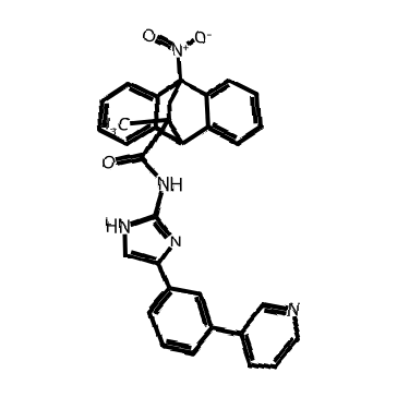 CC1(C(=O)Nc2nc(-c3cccc(-c4cccnc4)c3)c[nH]2)CC2([N+](=O)[O-])c3ccccc3C1c1ccccc12